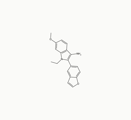 CCn1c(-c2ccc3occc3c2)c(N)c2ccc(OC)cc21